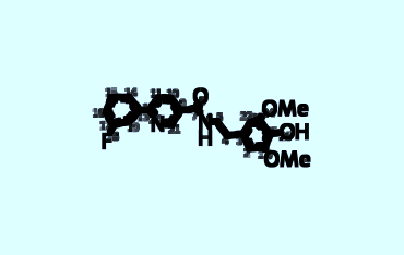 COc1cc(CCNC(=O)c2ccc(-c3cccc(F)c3)nc2)cc(OC)c1O